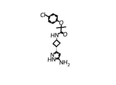 CC(C)(Oc1ccc(Cl)cc1)C(=O)N[C@H]1C[C@@H](c2cc(N)[nH]n2)C1